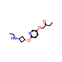 CCN[C@H]1C[C@H](Oc2ccc(OCC(=O)CC)cn2)C1